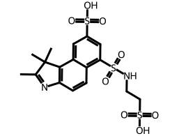 CC1=Nc2ccc3c(S(=O)(=O)NCCS(=O)(=O)O)cc(S(=O)(=O)O)cc3c2C1(C)C